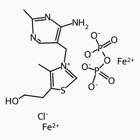 Cc1ncc(C[n+]2csc(CCO)c2C)c(N)n1.O=P([O-])([O-])OP(=O)([O-])[O-].[Cl-].[Fe+2].[Fe+2]